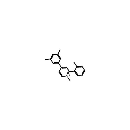 Cc1cc(C)cc(-c2cc[n+](C)c(-c3ccccc3C)c2)c1